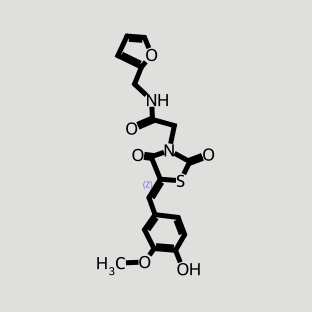 COc1cc(/C=C2\SC(=O)N(CC(=O)NCc3ccco3)C2=O)ccc1O